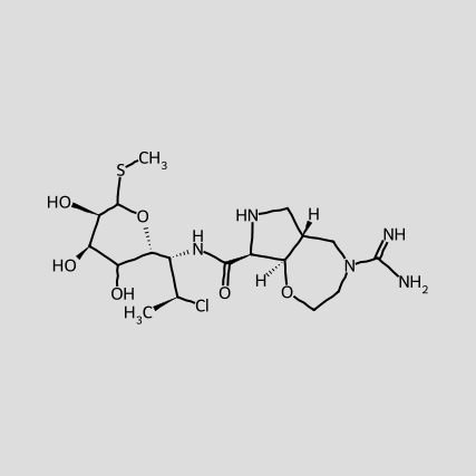 CSC1O[C@H]([C@H](NC(=O)[C@H]2NC[C@@H]3CN(C(=N)N)CCO[C@H]32)[C@H](C)Cl)C(O)[C@@H](O)[C@H]1O